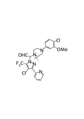 COc1cc(N2CCN(C(C=O)n3nc(-c4ccccn4)c(Cl)c3C(F)(F)F)[C@@H](C)C2)ccc1Cl